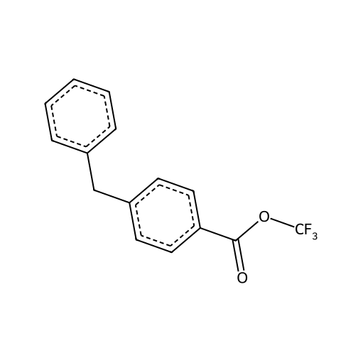 O=C(OC(F)(F)F)c1ccc(Cc2ccccc2)cc1